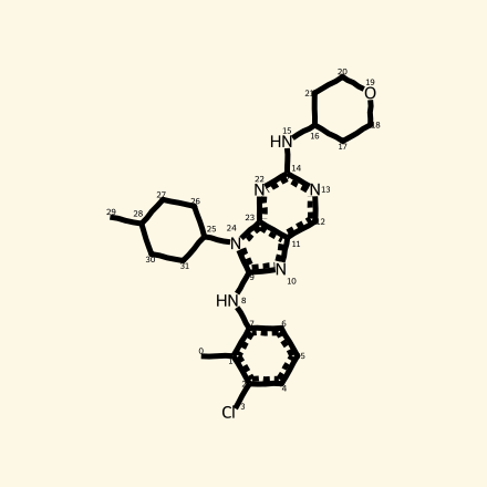 Cc1c(Cl)cccc1Nc1nc2cnc(NC3CCOCC3)nc2n1C1CCC(C)CC1